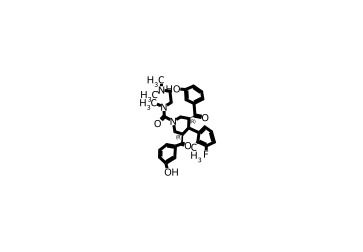 Cc1c(F)cccc1C1[C@@H](C(=O)c2cccc(O)c2)CN(C(=O)N(C)CCN(C)C)C[C@@H]1C(=O)c1cccc(O)c1